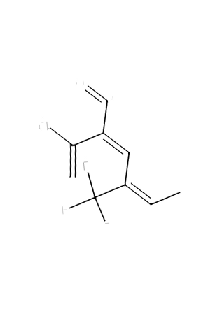 C=C(Cl)/C(C=O)=C\C(=C/C)C(F)(F)F